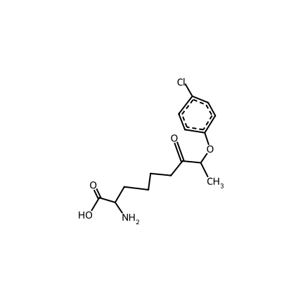 CC(Oc1ccc(Cl)cc1)C(=O)CCCCC(N)C(=O)O